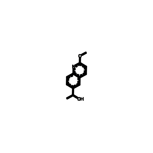 COc1ccc2cc(C(C)O)ccc2n1